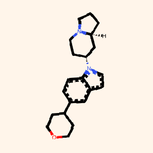 c1cc2c(ccn2[C@@H]2CCN3CCC[C@H]3C2)cc1C1CCOCC1